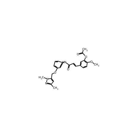 COc1ccc(C=CC(=O)Nc2cccc(OCc3cc(C)nn3C)c2)cc1OC(C)=O